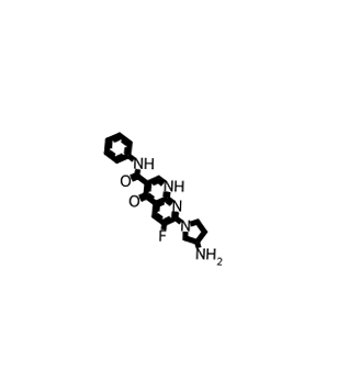 NC1CCN(c2nc3[nH]cc(C(=O)Nc4ccccc4)c(=O)c3cc2F)C1